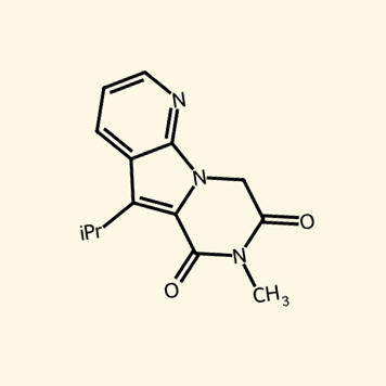 CC(C)c1c2n(c3ncccc13)CC(=O)N(C)C2=O